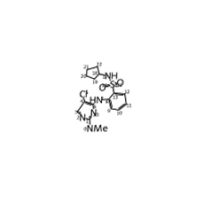 CNc1ncc(Cl)c(Nc2ccccc2S(=O)(=O)NC2CCCC2)n1